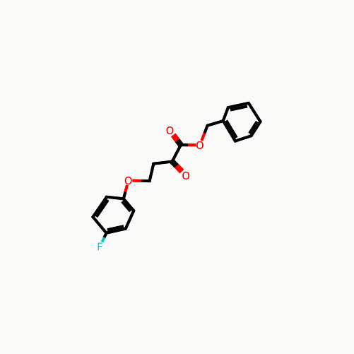 O=C(CCOc1ccc(F)cc1)C(=O)OCc1ccccc1